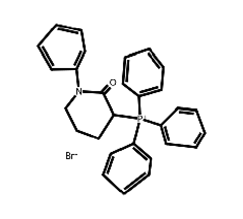 O=C1C([P+](c2ccccc2)(c2ccccc2)c2ccccc2)CCCN1c1ccccc1.[Br-]